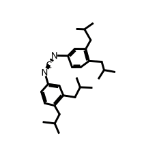 CC(C)Cc1ccc(N=C=Nc2ccc(CC(C)C)c(CC(C)C)c2)cc1CC(C)C